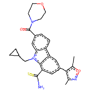 Cc1noc(C)c1-c1cc(C(N)=S)c2c(c1)c1ccc(C(=O)N3CCOCC3)cc1n2CC1CC1